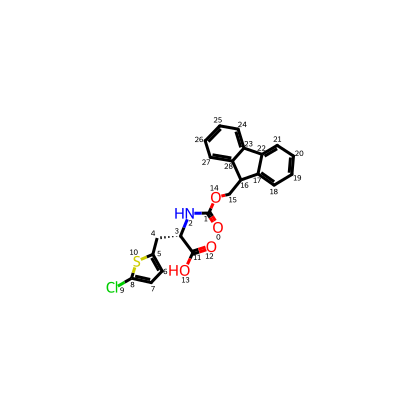 O=C(N[C@@H](Cc1ccc(Cl)s1)C(=O)O)OCC1c2ccccc2-c2ccccc21